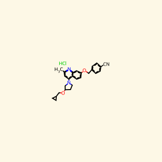 Cc1cc(N2CCC(OCC3CC3)C2)c2ccc(OCc3ccc(C#N)cc3)cc2n1.Cl